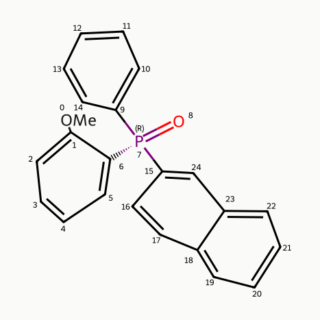 COc1ccccc1[P@@](=O)(c1ccccc1)c1ccc2ccccc2c1